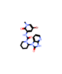 Cn1cc(Br)cc(NC(=O)N2CCCCC2n2c(=O)[nH]c3ncccc32)c1=O